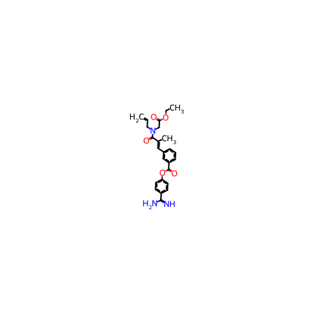 C=CCN(CC(=O)OCC)C(=O)/C(C)=C/c1cccc(C(=O)Oc2ccc(C(=N)N)cc2)c1